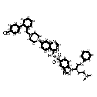 CN(C)CC[C@H](CSc1ccccc1)n1nnc2cc(S(=O)(=O)Nc3ncnc4cc(N5CCN(Cc6ccccc6-c6ccc(Cl)cc6)CC5)ccc34)ccc21